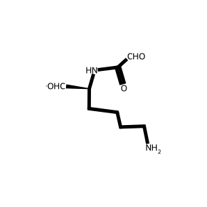 NCCCC[C@@H]([C]=O)NC(=O)C=O